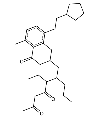 CCCC(CC1CC(=O)c2c(C)ccc(CCC3CCCC3)c2C1)C(CC)C(=O)CC(C)=O